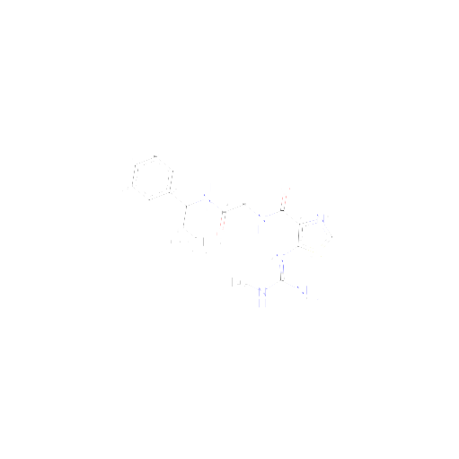 CC(C)(C)N/C(N)=N/c1scnc1C(=O)NCC(=O)NC(CC(=O)O)c1ccccc1